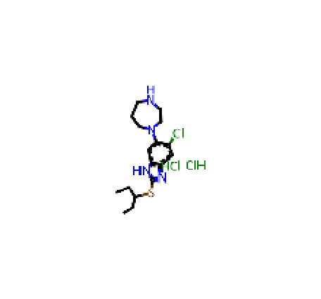 CCC(CC)Sc1nc2cc(Cl)c(N3CCCNCC3)cc2[nH]1.Cl.Cl